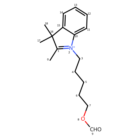 CC1=[N+](CCCCCOC=O)c2ccccc2C1(C)C